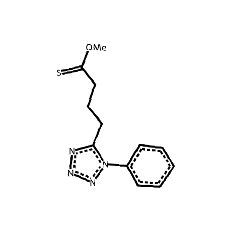 COC(=S)CCCc1nnnn1-c1ccccc1